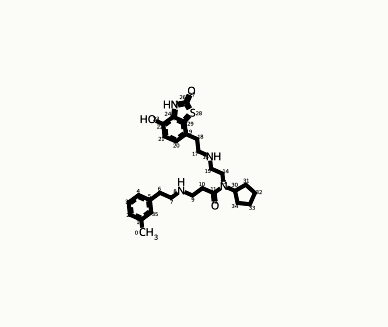 Cc1cccc(CCNCCC(=O)N(CCNCCc2ccc(O)c3[nH]c(=O)sc23)C2CCCC2)c1